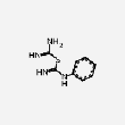 N=C(N)SC(=N)Nc1ccccc1